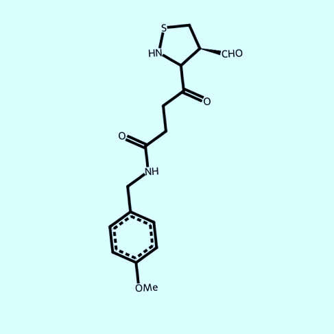 COc1ccc(CNC(=O)CCC(=O)C2NSC[C@H]2C=O)cc1